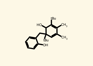 CC1=CC(Cc2ccccc2O)(C(C)(C)C)C(O)C(C(C)(C)C)=C1C